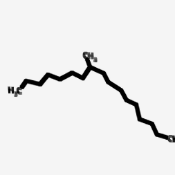 CCCCCCCCC[C](C)CCCCCCC